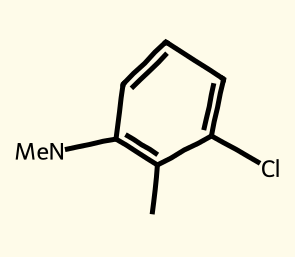 CNc1cccc(Cl)c1C